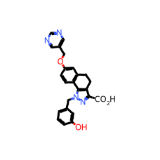 O=C(O)c1nn(Cc2cccc(O)c2)c2c1CCc1cc(OCc3cncnc3)ccc1-2